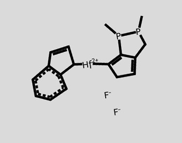 CP1CC2=CC[C]([Hf+2][CH]3C=Cc4ccccc43)=C2P1C.[F-].[F-]